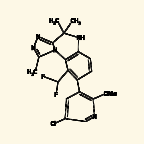 COc1ncc(Cl)cc1-c1ccc2c(c1C(F)F)-n1c(C)nnc1C(C)(C)N2